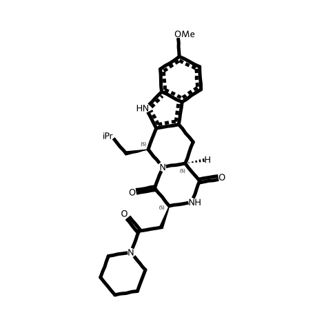 COc1ccc2c3c([nH]c2c1)[C@H](CC(C)C)N1C(=O)[C@H](CC(=O)N2CCCCC2)NC(=O)[C@@H]1C3